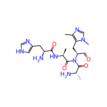 Cc1ncn(C)c1C[C@@H]([C]=O)N(C(=O)[C@H](C)N)C(=O)[C@H](C)NC(=O)[C@@H](N)Cc1c[nH]cn1